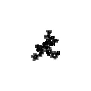 CCC[C@H](NC(=O)[C@@H]1C[C@]2(CC(c3cccc(Cl)c3)=NO2)CN1C(=O)[C@@H](NC(=O)[C@@H]1C[C@H]1C1CCCC1)C(C)(C)C)C(=O)C(=O)NC1CC1